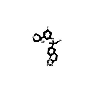 CC(C)CC(C)(Oc1cc(F)cc(C2(O)CCOCC2)c1)c1ccc2c(c1)C=CC1=NNCN12